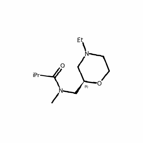 CCN1CCO[C@@H](CN(C)C(=O)C(C)C)C1